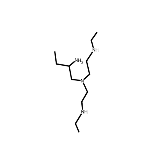 CCNCCN(CCNCC)CC(N)CC